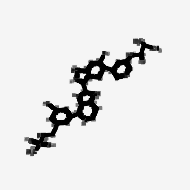 CC(C)C(=O)Nc1cncc(-c2cc3c(-c4nc5c(-c6cc(F)cc(CNS(C)(=O)=O)c6)nccc5[nH]4)n[nH]c3cc2F)c1